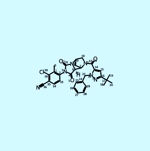 Cc1c(N2C(=O)[C@@H]3C4CC(CN4C(=O)c4cc(C(C)(C)C)nn4Cc4ccccc4)N3C2=O)ccc(C#N)c1Cl